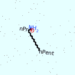 CCCCCC=CCC=CCC=CCC=CCCC(CCC)C(N)=O